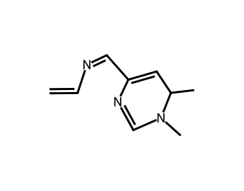 C=C/N=C\C1=CC(C)N(C)C=N1